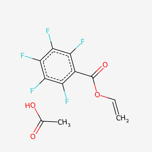 C=COC(=O)c1c(F)c(F)c(F)c(F)c1F.CC(=O)O